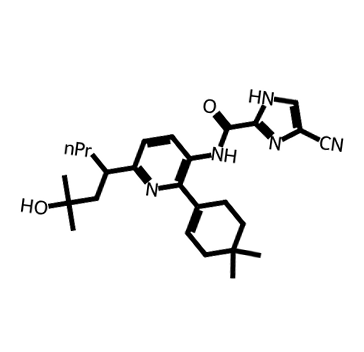 CCCC(CC(C)(C)O)c1ccc(NC(=O)c2nc(C#N)c[nH]2)c(C2=CCC(C)(C)CC2)n1